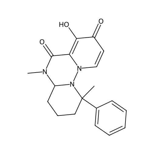 CN1C(=O)c2c(O)c(=O)ccn2N2C1CCCC2(C)c1ccccc1